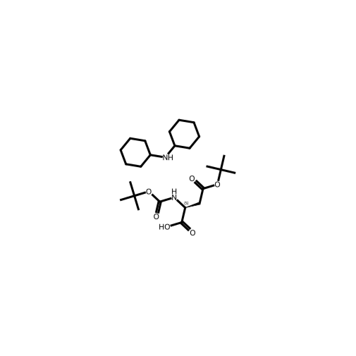 C1CCC(NC2CCCCC2)CC1.CC(C)(C)OC(=O)C[C@H](NC(=O)OC(C)(C)C)C(=O)O